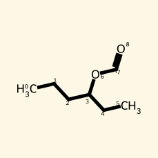 CCCC(CC)O[C]=O